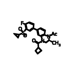 CC(=O)N1c2ccc(-c3ccc(F)c(S(=O)(=O)C4CC4)c3)cc2N(C(=O)C2CCC2)C[C@@H]1C